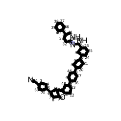 N#Cc1ccc(-c2ccc3oc4ccc(-c5ccc(-c6ccc(-c7cccc(C(=N)/N=c8/ccc(-c9ccccc9)c[nH]8)c7)cc6)cc5)cc4c3c2)cc1